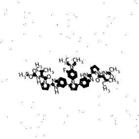 CCN(CC)c1ccc(N2[C@@H](c3ccc4nc([C@@H]5CCCN5C(=O)[C@@H](NC(C)=O)C(C)C)[nH]c4c3)CC[C@@H]2c2ccc3nc([C@@H]4CCCN4C(=O)[C@@H](NC(=O)OC)C(C)C)[nH]c3c2)cc1F